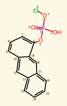 O=P(O)(OCl)Oc1cccc2cc3ccccc3cc12